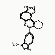 Cc1n[nH]c2ccc(-c3nc4ccc5[nH]ncc5c4c4c3CCCC4)cc12